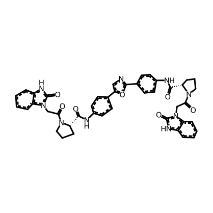 O=C(Nc1ccc(-c2cnc(-c3ccc(NC(=O)[C@@H]4CCCN4C(=O)Cn4c(=O)[nH]c5ccccc54)cc3)o2)cc1)[C@@H]1CCCN1C(=O)Cn1c(=O)[nH]c2ccccc21